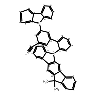 CC1(C)c2ccccc2-c2cc3c(cc21)c1ccccc1n3-c1ccccc1-c1cc(C#N)cc(-n2c3ccccc3c3ccccc32)c1